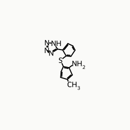 Cc1ccc(Sc2ccccc2-c2nnn[nH]2)c(N)c1